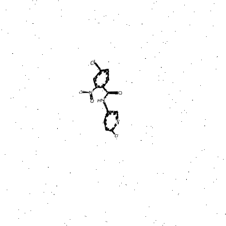 O=C(Nc1ccc(Cl)nc1)c1ccc(Cl)cc1[N+](=O)[O-]